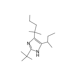 CCCC(C)(C)c1nc(C(C)(C)C)[nH]c1C(C)CC